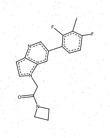 Cc1c(F)ccc(-c2cnc3ccn(CC(=O)N4CCC4)c3c2)c1F